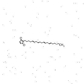 CCCCCC=CCC=CCC=CCC=CCCCCN1C(=O)C=CC1=O